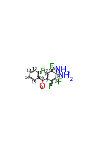 NC1(N)C(F)=C(F)C(C(=O)c2ccccc2)=C(F)C1F